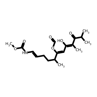 COC(=O)N/C=C/CCC(C)/C(=C/C(O)=C(\C)C(=O)C(C)C)OC=O